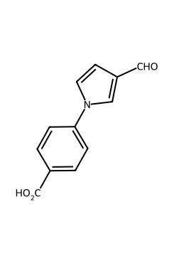 O=Cc1ccn(-c2ccc(C(=O)O)cc2)c1